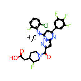 CN(c1c(F)cccc1Cl)c1cc(-c2cc(F)c(F)c(F)c2)nc2cc(C(=O)N3CCC(CC(=O)O)C(F)C3)nn12